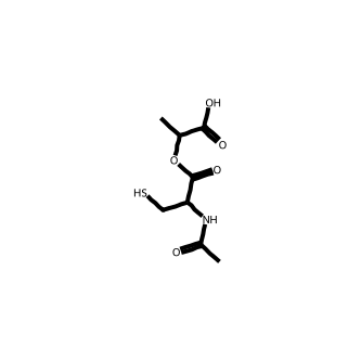 CC(=O)NC(CS)C(=O)OC(C)C(=O)O